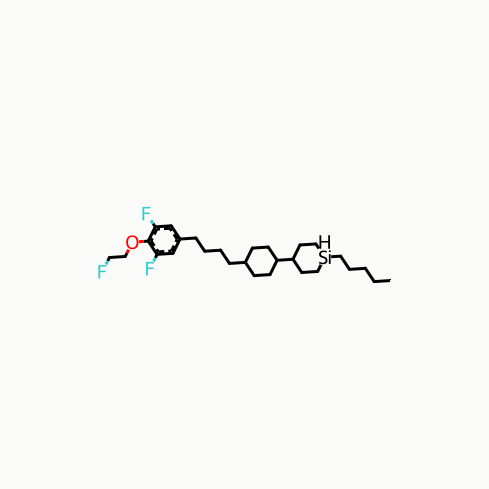 CCCCC[SiH]1CCC(C2CCC(CCCCc3cc(F)c(OCCF)c(F)c3)CC2)CC1